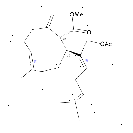 C=C1CC/C=C(\C)CC[C@H](/C(=C\CC=C(C)C)COC(C)=O)[C@H]1C(=O)OC